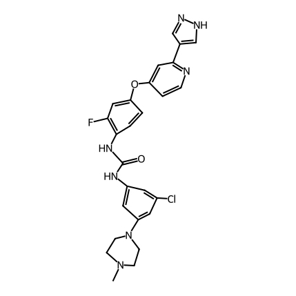 CN1CCN(c2cc(Cl)cc(NC(=O)Nc3ccc(Oc4ccnc(-c5cn[nH]c5)c4)cc3F)c2)CC1